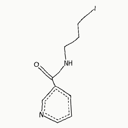 O=C(NCCCI)c1cccnc1